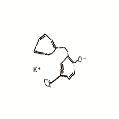 [K+].[O-]c1ccc(Cl)cc1Cc1ccccc1